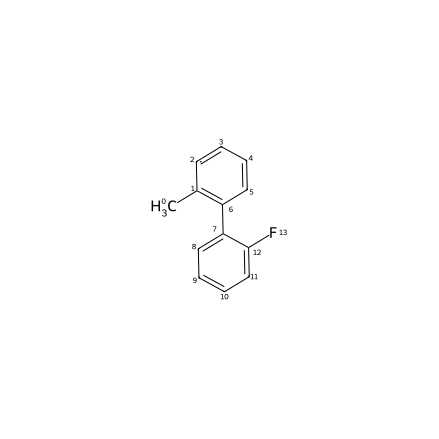 Cc1[c]cccc1-c1ccccc1F